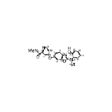 CCN(c1nc2ccc(Oc3ccnc(C(=O)NC)c3)cc2o1)c1ccccc1O